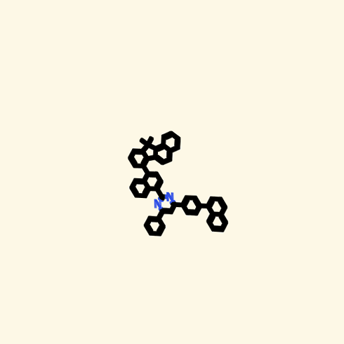 CC1(C)c2cccc(-c3ccc(-c4nc(-c5ccccc5)cc(-c5ccc(-c6cccc7ccccc67)cc5)n4)c4ccccc34)c2-c2ccc3ccccc3c21